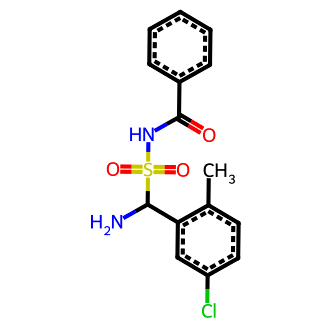 Cc1ccc(Cl)cc1C(N)S(=O)(=O)NC(=O)c1ccccc1